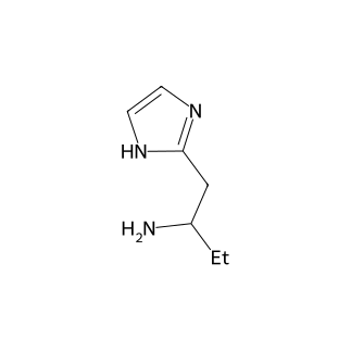 CCC(N)Cc1ncc[nH]1